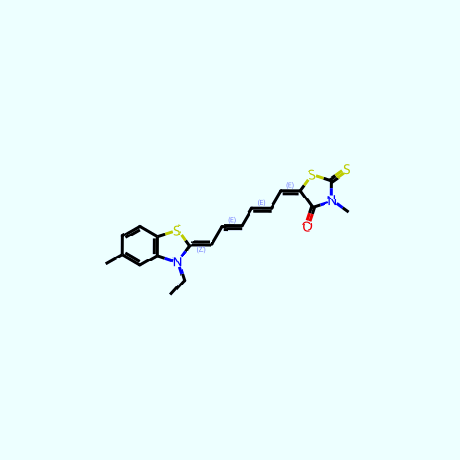 CCN1/C(=C/C=C/C=C/C=C2/SC(=S)N(C)C2=O)Sc2ccc(C)cc21